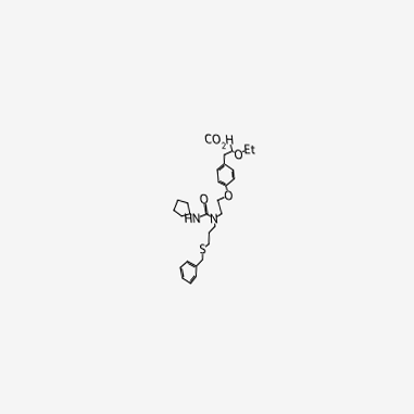 CCOC(Cc1ccc(OCCN(CCCSCc2ccccc2)C(=O)NC2CCCC2)cc1)C(=O)O